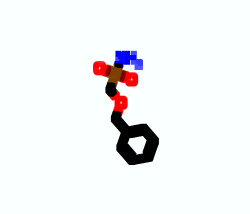 NS(=O)(=O)COCc1ccccc1